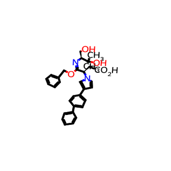 CC(C)(O)[C@H](CO)N=C(OCc1ccccc1)[C@@H](CC(=O)O)n1ccc(-c2ccc(-c3ccccc3)cc2)c1